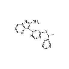 C[C@@H](Oc1cc(-c2c(N)nn3cccnc23)ncn1)c1ccccc1